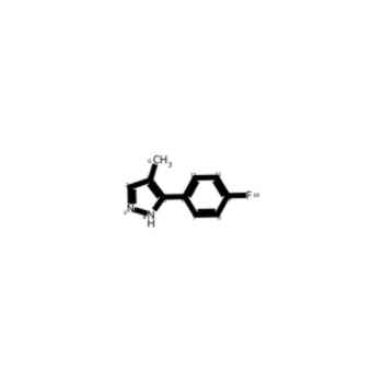 Cc1[c]n[nH]c1-c1ccc(F)cc1